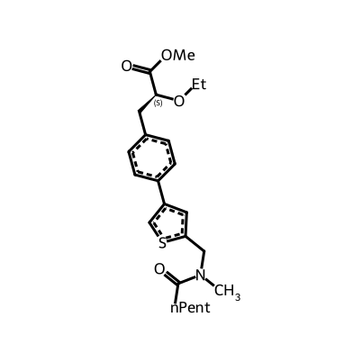 CCCCCC(=O)N(C)Cc1cc(-c2ccc(C[C@H](OCC)C(=O)OC)cc2)cs1